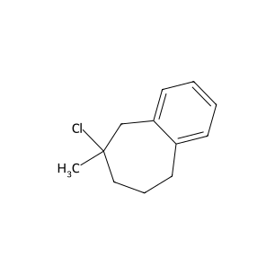 CC1(Cl)CCCc2ccccc2C1